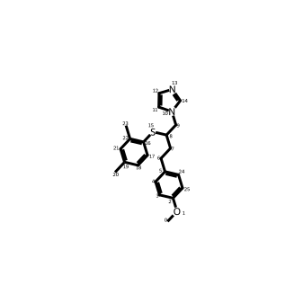 COc1ccc(CCC(Cn2ccnc2)Sc2ccc(C)cc2C)cc1